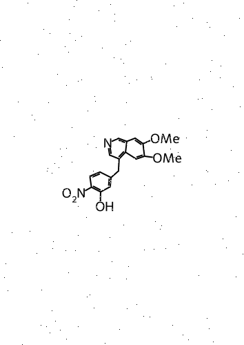 COc1cc2cncc(Cc3ccc([N+](=O)[O-])c(O)c3)c2cc1OC